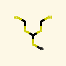 CCSC(SCS)SCS